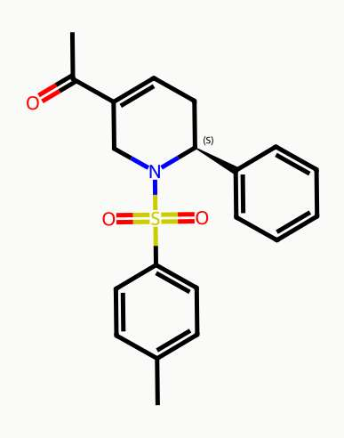 CC(=O)C1=CC[C@@H](c2ccccc2)N(S(=O)(=O)c2ccc(C)cc2)C1